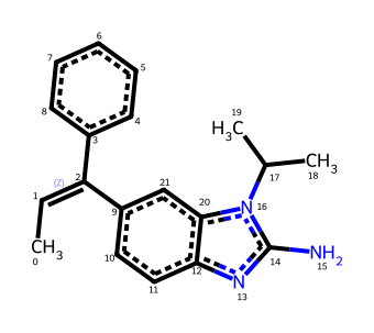 C/C=C(/c1ccccc1)c1ccc2nc(N)n(C(C)C)c2c1